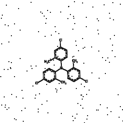 Cc1cc(Cl)cc[c]1[Bi]([c]1ccc(Cl)cc1C)[c]1ccc(Cl)cc1C